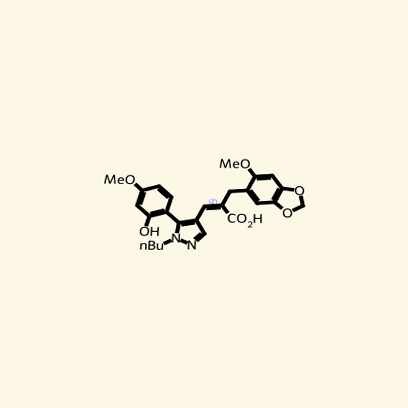 CCCCn1ncc(/C=C(/Cc2cc3c(cc2OC)OCO3)C(=O)O)c1-c1ccc(OC)cc1O